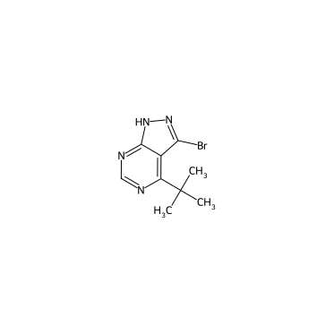 CC(C)(C)c1ncnc2[nH]nc(Br)c12